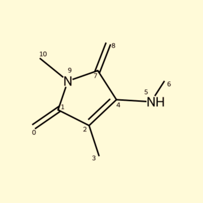 C=c1c(C)c(NC)c(=C)n1C